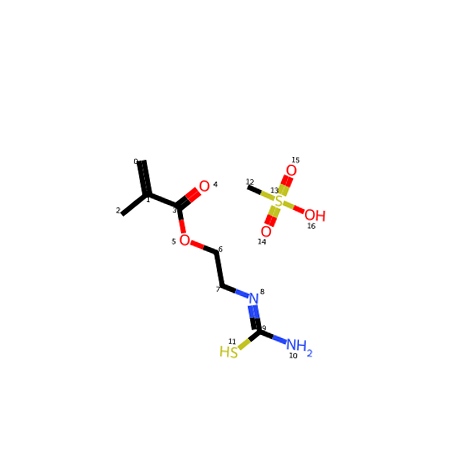 C=C(C)C(=O)OCCN=C(N)S.CS(=O)(=O)O